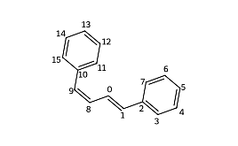 C(=Cc1ccccc1)/C=C\c1ccccc1